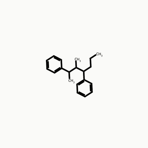 C[CH]CC(c1ccccc1)C(C)C(C)c1ccccc1